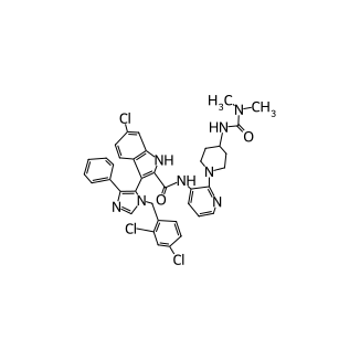 CN(C)C(=O)NC1CCN(c2ncccc2NC(=O)c2[nH]c3cc(Cl)ccc3c2-c2c(-c3ccccc3)ncn2Cc2ccc(Cl)cc2Cl)CC1